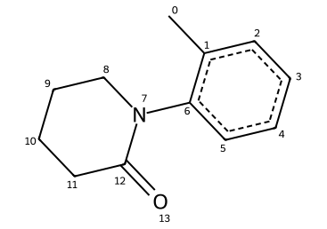 Cc1ccccc1N1CCCCC1=O